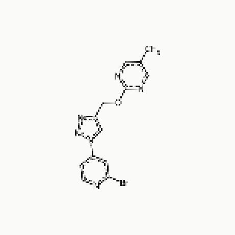 Cc1cnc(OCc2cn(-c3ccnc(Br)c3)nn2)nc1